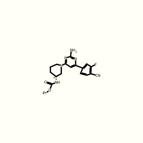 CC(C)OC(=O)N[C@@H]1CCCN(c2cc(-c3ccc(C#N)c(F)c3)nc(N)n2)C1